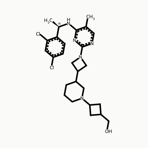 Cc1cnc(N2CC(C3CCCN(C4CC(CO)C4)C3)C2)nc1N[C@H](C)c1ccc(Cl)cc1Cl